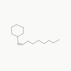 CCCCCCC/C=N\C1CCCCC1